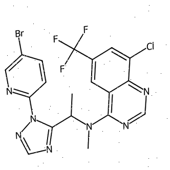 CC(c1ncnn1-c1ccc(Br)cn1)N(C)c1ncnc2c(Cl)cc(C(F)(F)F)cc12